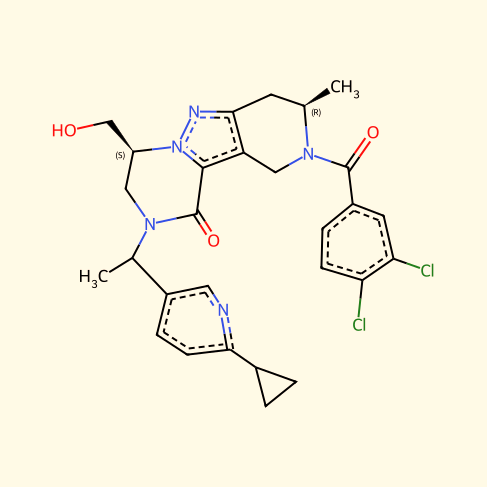 CC(c1ccc(C2CC2)nc1)N1C[C@@H](CO)n2nc3c(c2C1=O)CN(C(=O)c1ccc(Cl)c(Cl)c1)[C@H](C)C3